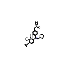 O=c1[nH]c(/C(=C/C2CCCC2)c2ccc(C[SH](=O)=O)cc2)ccc1C1CC1